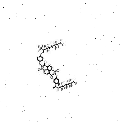 C=C(c1ccc(CN2C(=O)c3ccc4c5c(ccc(c35)C2=O)C(=O)N(Cc2ccc(CCC(C(F)(F)F)C(F)(F)C(F)(F)C(F)(F)C(F)(F)C(F)(F)C(F)F)cc2)C4=O)cc1)C(C)C(F)(F)C(F)(F)C(F)(F)C(F)(F)C(F)(F)C(F)F